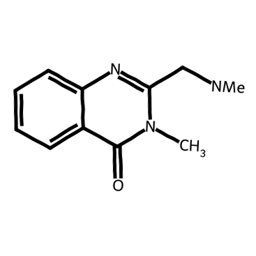 CNCc1nc2ccccc2c(=O)n1C